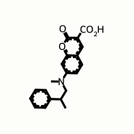 CC(CN(C)c1ccc2cc(C(=O)O)c(=O)oc2c1)c1ccccc1